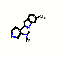 CCCN(CC)c1cnccc1C1=Nc2cc(C(F)(F)F)ccc2C1